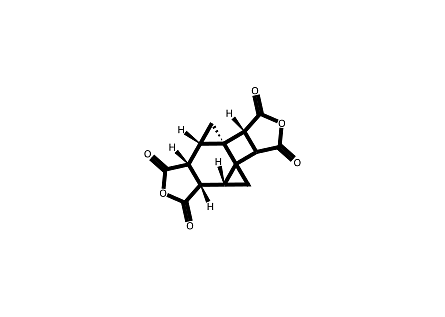 O=C1OC(=O)[C@@H]2C1C13C[C@@H]1[C@@H]1C(=O)OC(=O)[C@@H]1[C@@H]1C[C@@]213